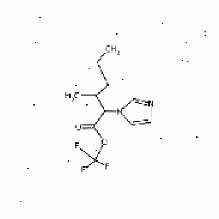 CCCC(C)C(C(=O)OC(F)(F)F)n1ccnc1